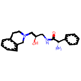 N[C@H](C(=O)NC[C@@H](O)CN1CCc2ccccc2C1)c1ccccc1